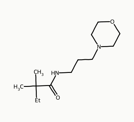 CCC(C)(C)C(=O)NCCCN1CCOCC1